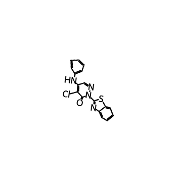 O=c1c(Cl)c(Nc2ccccc2)cnn1-c1nc2ccccc2s1